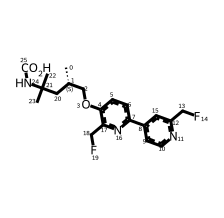 C[C@H](COc1ccc(-c2ccnc(CF)c2)nc1CF)CC(C)(C)NC(=O)O